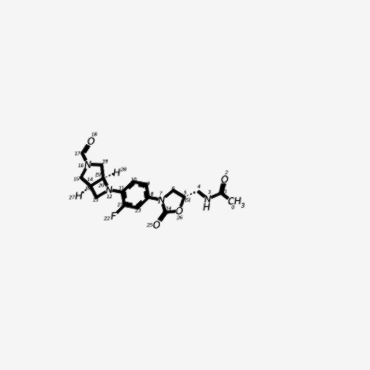 CC(=O)NC[C@H]1CN(c2ccc(N3C[C@H]4CN(C=O)C[C@H]43)c(F)c2)C(=O)O1